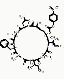 C/C=C(\C)[C@H]1OC(=O)[C@@H](C)NC(=O)[C@H]([C@H](C)CC)NC(=O)CN(C)C(=O)[C@@H](Cc2ccccc2)N(C)C(=O)[C@H](C)NC(=O)[C@@H](CC(C)C)OC(=O)/C(C)=C/C[C@H](OC(=O)Oc2ccc([N+](=O)[O-])cc2)[C@@H]1C